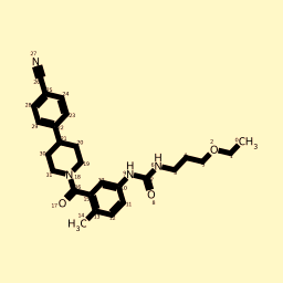 CCOCCCNC(=O)Nc1ccc(C)c(C(=O)N2CCC(c3ccc(C#N)cc3)CC2)c1